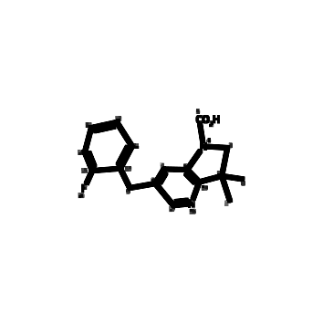 CC1(C)CN(C(=O)O)c2cc(Cc3ccccc3F)cnc21